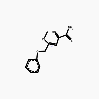 CN/C(=C\C(=N)C(N)=O)COc1ccccc1